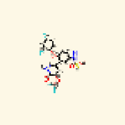 Cn1cc(-c2cc(NS(C)(=O)=O)ccc2Oc2ccc(F)cc2F)cc(OC(F)F)c1=O